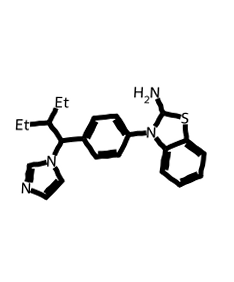 CCC(CC)C(c1ccc(N2c3ccccc3SC2N)cc1)n1ccnc1